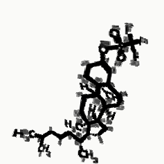 CC(C)CCC[C@@H](C)[C@H]1CC[C@H]2[C@@H]3CC=C4C=C(OS(=O)(=O)C(F)(F)F)CC[C@]4(C)[C@H]3CC[C@]12C